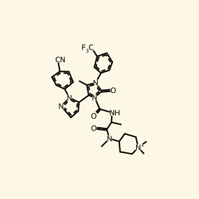 Cc1c(-c2ccnn2-c2ccc(C#N)cc2)n(C(=O)NC(C)C(=O)N(C)C2CC[N+](C)(C)CC2)c(=O)n1-c1cccc(C(F)(F)F)c1